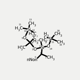 CCCCCCCCCC(C)[Si](C)(OC(C)(C)O[Si](C)(C)C)O[Si](C)(C)C